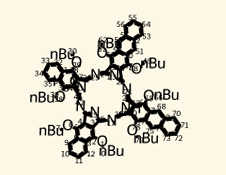 CCCCOc1c2c(c(OCCCC)c3ccccc13)-c1nc-2nc2[nH]c(nc3nc(nc4c5c(OCCCC)c6ccccc6c(OCCCC)c5c(n1)n4C)-c1c-3c(OCCCC)c3cc4ccccc4cc3c1OCCCC)c1c(OCCCC)c3cc4ccccc4cc3c(OCCCC)c21